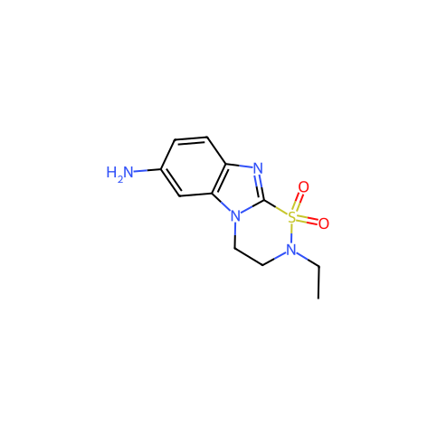 CCN1CCn2c(nc3ccc(N)cc32)S1(=O)=O